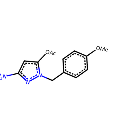 COc1ccc(Cn2nc(N)cc2OC(C)=O)cc1